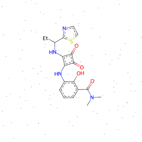 CCC(Nc1c(Nc2cccc(C(=O)N(C)C)c2O)c(=O)c1=O)c1nccs1